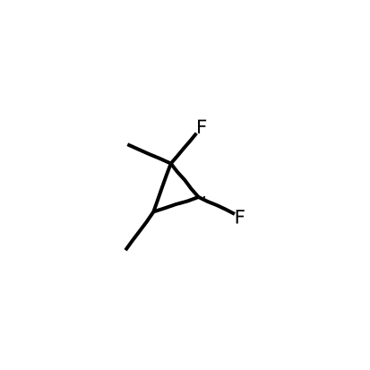 CC1[C](F)C1(C)F